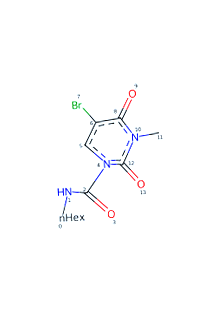 CCCCCCNC(=O)n1cc(Br)c(=O)n(C)c1=O